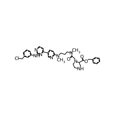 CN(CCCN(C)c1ccc(-c2ccnc(Nc3cccc(CCl)c3)n2)cn1)C(=O)CN1CCNCC1C(=O)OCc1ccccc1